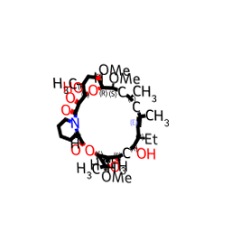 CC[C@@H]1/C=C(\C)C[C@H](C)C[C@H](OC)[C@H]2O[C@@](O)(C(=O)C(=O)N3CCCC[C@H]3C(=O)O[C@H]3[C@H](C)[C@H](C[C@H]1O)OC3(C)OC)[C@H](C)C[C@@H]2OC